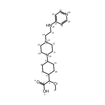 COC(C(=O)O)C1CCC(N2CCN(CCNc3ccncc3)CC2)CC1